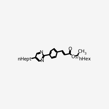 CCCCCCCc1cnc(-c2ccc(C=CC(=O)O[C@H](C)CCCCCC)cc2)nc1